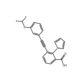 O=C(O)c1cccc(C#Cc2cccc(OC(F)F)c2)c1-n1cccc1